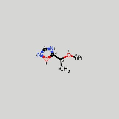 CCCO[C@@H](C)c1ncno1